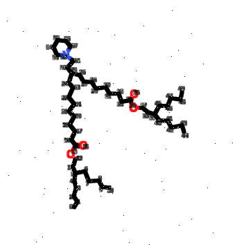 CCCCCC(CCCCC)CCOC(=O)CCCCCCCCCC(CCCCCCCCC(=O)OCCC(CCCCC)CCCCC)CCN1CCCCC1